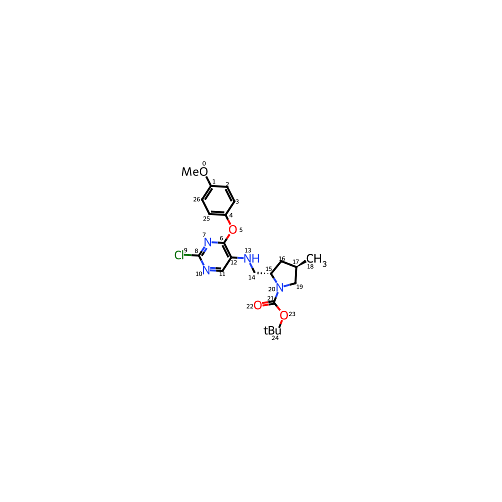 COc1ccc(Oc2nc(Cl)ncc2NC[C@@H]2C[C@@H](C)CN2C(=O)OC(C)(C)C)cc1